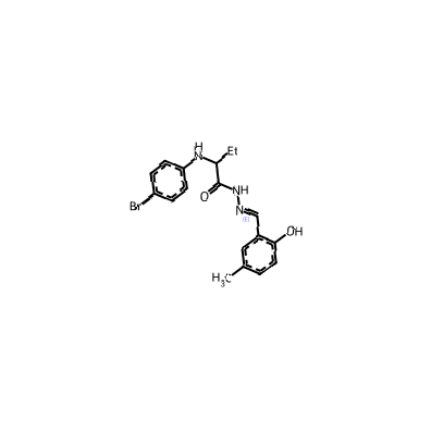 CCC(Nc1ccc(Br)cc1)C(=O)N/N=C/c1cc(C)ccc1O